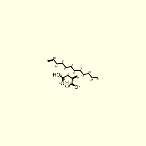 C=C(CC(=O)O)C(=O)O.C=CCCCCCCCCCC